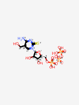 Nc1nc(=S)n([C@@H]2O[C@H](COP(=O)(O)OP(=O)(O)OP(=O)(O)O)[C@H](O)C2O)cc1CO